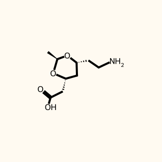 C[C@H]1O[C@H](CCN)C[C@H](CC(=O)O)O1